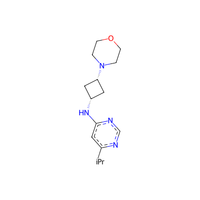 CC(C)c1cc(N[C@H]2C[C@@H](N3CCOCC3)C2)ncn1